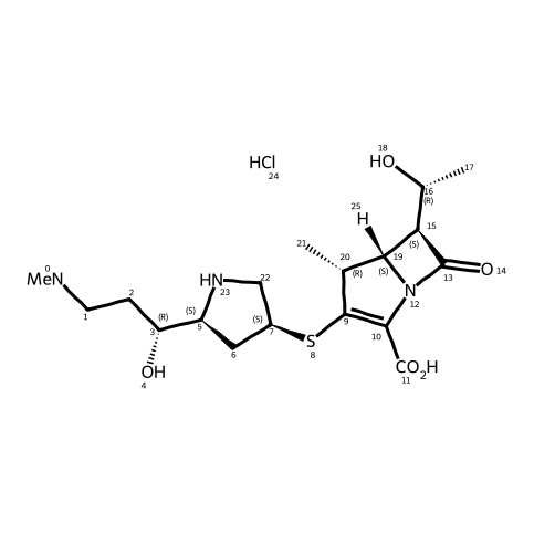 CNCC[C@@H](O)[C@@H]1C[C@H](SC2=C(C(=O)O)N3C(=O)[C@H]([C@@H](C)O)[C@H]3[C@H]2C)CN1.Cl